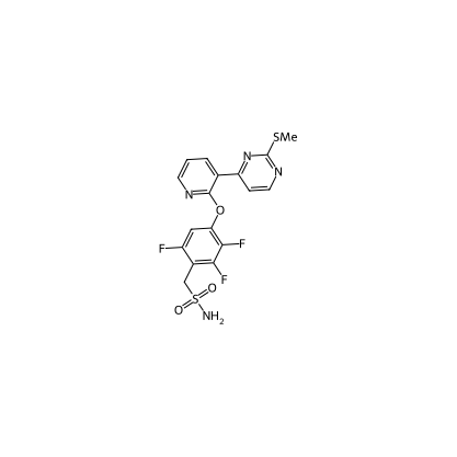 CSc1nccc(-c2cccnc2Oc2cc(F)c(CS(N)(=O)=O)c(F)c2F)n1